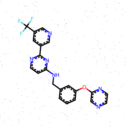 FC(F)(F)c1cncc(-c2nccc(NCc3cccc(Oc4cnccn4)c3)n2)c1